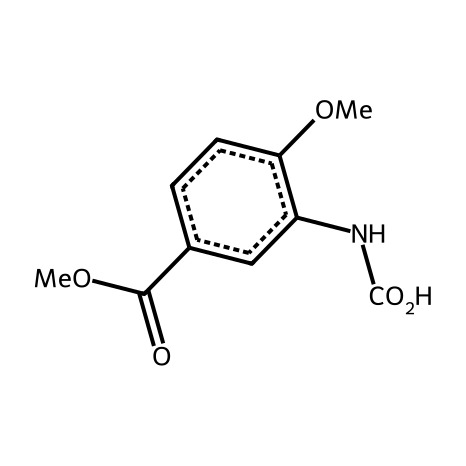 COC(=O)c1ccc(OC)c(NC(=O)O)c1